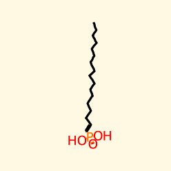 CCCCCCCCCCCCCCC/C=C/P(=O)(O)O